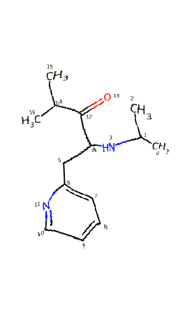 CC(C)NC(Cc1ccccn1)C(=O)C(C)C